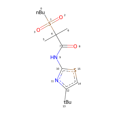 CCCCS(=O)(=O)C(C)(C)C(=O)Nc1nc(C(C)(C)C)cs1